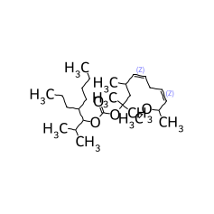 CCCCC(CCC)C(OC(=O)OC(C)(C)CC(C)/C=C\C/C=C\C(C)OC)C(C)C